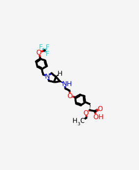 CCO[C@H](Cc1ccc(OCCN[C@H]2C3CN(Cc4ccc(OC(F)(F)F)cc4)C[C@@H]32)cc1)C(=O)O